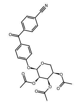 CC(=O)O[C@H]1[C@@H](Oc2ccc(C(=O)c3ccc(C#N)cc3)cc2)OC[C@@H](OC(C)=O)[C@H]1OC(C)=O